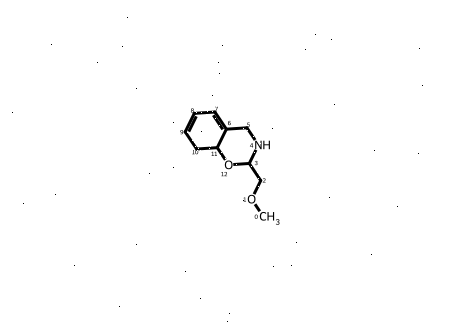 COCC1NCC2=CC=CCC2O1